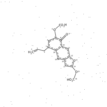 C=CCn1cc(OC(=O)O)c(=O)c2cc3oc(OC(=O)O)cc3nc21